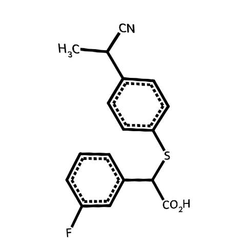 CC(C#N)c1ccc(SC(C(=O)O)c2cccc(F)c2)cc1